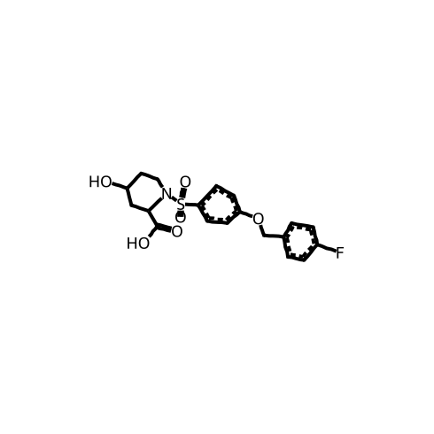 O=C(O)C1CC(O)CCN1S(=O)(=O)c1ccc(OCc2ccc(F)cc2)cc1